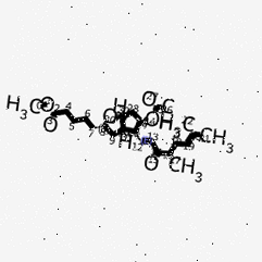 COC(=O)CCCC[C@H]1C[C@@H]2[C@@H](/C=C/C(=O)C(C)CC=C(C)C)[C@H](OC(C)=O)C[C@@H]2O1